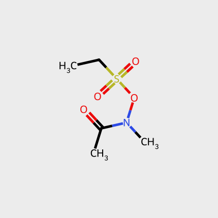 CCS(=O)(=O)ON(C)C(C)=O